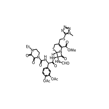 CCN1CCN(C(=O)NC(C(=O)N[C@]2(NC=O)C(=O)N3C(C(=O)OC)=C(CSc4nnnn4C)CS[C@H]32)c2ccc(OC(C)=O)c(OC(C)=O)c2)C(=O)C1=O